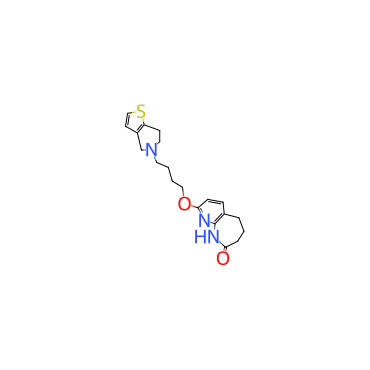 O=C1CCCc2ccc(OCCCCN3CCc4sccc4C3)nc2N1